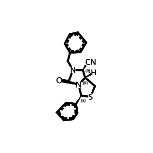 N#C[C@H]1[C@@H]2CS[C@@H](c3ccccc3)N2C(=O)N1Cc1ccccc1